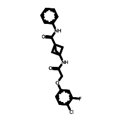 O=C(COc1ccc(Cl)c(F)c1)NC12CC(C(=O)Nc3ccccc3)(C1)C2